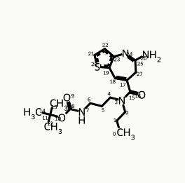 CCCN(CCCNC(=O)OC(C)(C)C)C(=O)C1=Cc2sccc2N=C(N)C1